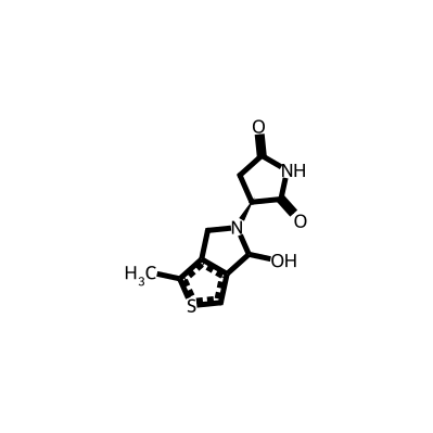 Cc1scc2c1CN([C@H]1CC(=O)NC1=O)C2O